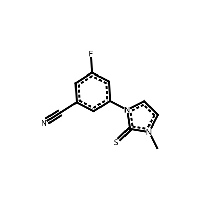 Cn1ccn(-c2cc(F)cc(C#N)c2)c1=S